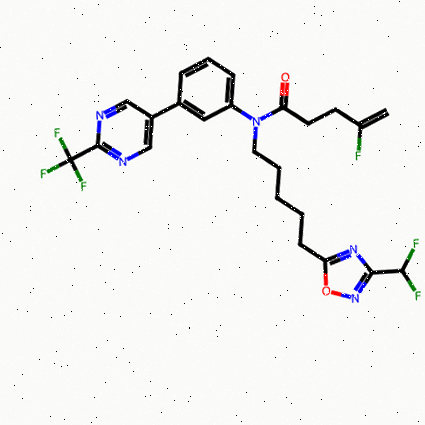 C=C(F)CCC(=O)N(CCCCCc1nc(C(F)F)no1)c1cccc(-c2cnc(C(F)(F)F)nc2)c1